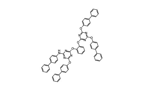 c1ccc(-c2ccc(Nc3nc(Oc4ccc(-c5ccccc5)cc4)nc(Oc4ccccc4Oc4nc(Oc5ccc(-c6ccccc6)cc5)nc(Oc5ccc(-c6ccccc6)cc5)n4)n3)cc2)cc1